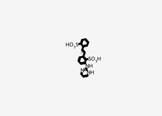 O=S(=O)(O)c1ccccc1/C=C/c1cccc(NN2N=CC=CN2)c1S(=O)(=O)O